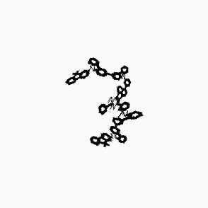 CC1(C)c2ccccc2-c2ccc(-n3c4ccccc4c4cc(-c5ccc6c(c5)c5ccccc5n6-c5cccc(-c6nc(-c7ccccc7)nc7c6-c6ccc(-c8cccc(-n9c%10ccccc%10c%10cc(-c%11ccc%12c(c%11)c%11ccccc%11n%12-c%11ccc%12c(c%11)C(C)(C)c%11ccccc%11-%12)ccc%109)c8)c8cccc-7c68)c5)ccc43)cc21